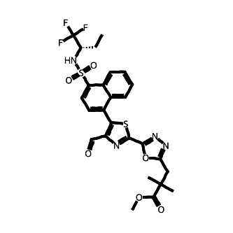 CC[C@H](NS(=O)(=O)c1ccc(-c2sc(-c3nnc(CC(C)(C)C(=O)OC)o3)nc2C=O)c2ccccc12)C(F)(F)F